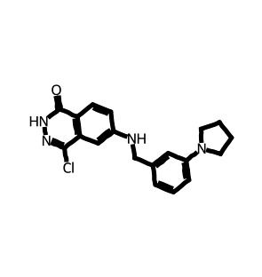 O=c1[nH]nc(Cl)c2cc(NCc3cccc(N4CCCC4)c3)ccc12